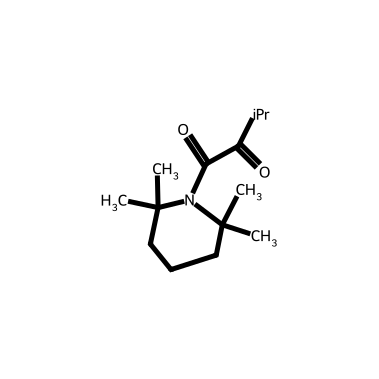 CC(C)C(=O)C(=O)N1C(C)(C)CCCC1(C)C